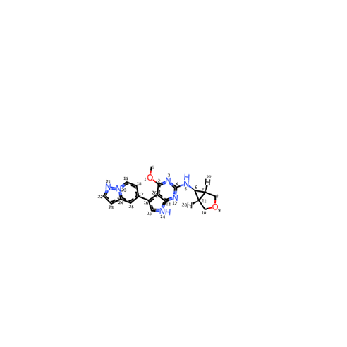 COc1nc(N[C@H]2[C@@H]3COC[C@@H]32)nc2[nH]cc(-c3ccn4nccc4c3)c12